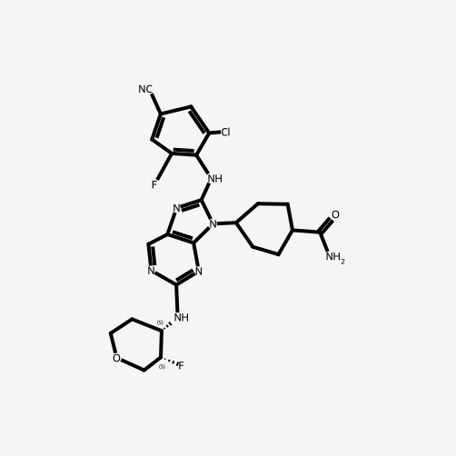 N#Cc1cc(F)c(Nc2nc3cnc(N[C@H]4CCOC[C@H]4F)nc3n2C2CCC(C(N)=O)CC2)c(Cl)c1